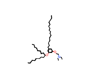 CCCCCCCCCCCCCCCc1cc(OCCN(CC)CC)cc(OC(CCCCCCCC)CCCCCCCC)c1